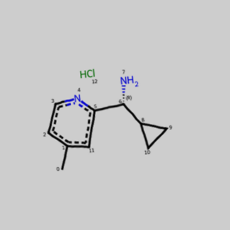 Cc1ccnc([C@H](N)C2CC2)c1.Cl